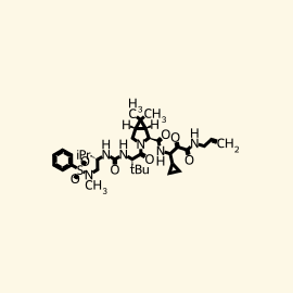 C=CCNC(=O)C(=O)C(NC(=O)[C@@H]1[C@@H]2[C@H](CN1C(=O)[C@@H](NC(=O)N[C@H](CN(C)S(=O)(=O)c1ccccc1)C(C)C)C(C)(C)C)C2(C)C)C1CC1